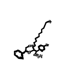 CC(C)CCCCCCCCCCCC(OC(CC=O)c1ccccc1)C(C(=O)O)c1ccc(Br)cc1